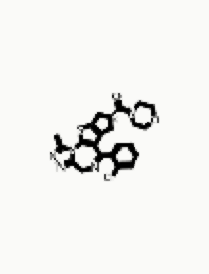 Cc1nnc2n1-c1sc3c(c1C(c1ccccc1Cl)=NC2)C[C@H](C(=O)N1CCOCC1)C3